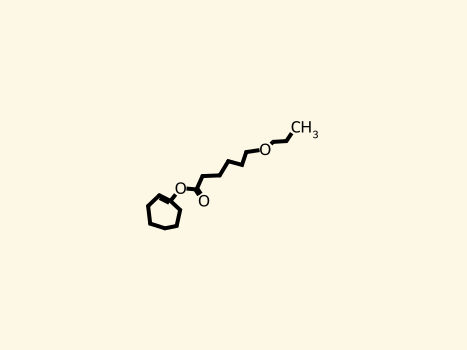 CCCOCCCCCC(=O)OC1=CCCCCC1